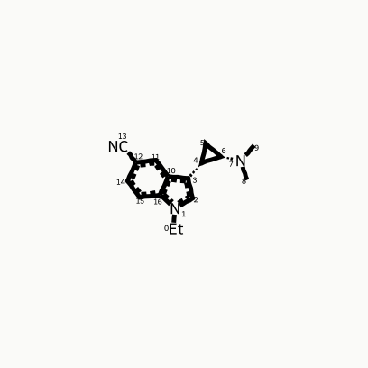 CCn1cc([C@@H]2C[C@@H]2N(C)C)c2cc(C#N)ccc21